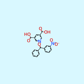 O=C(O)c1cncc(C(=O)O)c1.O=C(c1ccccc1)c1cccc([N+](=O)[O-])c1